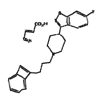 Fc1ccc2c(C3CCN(CCCC4=Cc5ccccc54)CC3)noc2c1.O=C(O)C=CC(=O)O